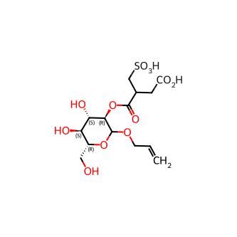 C=CCOC1O[C@H](CO)[C@@H](O)[C@H](O)[C@H]1OC(=O)C(CC(=O)O)CS(=O)(=O)O